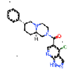 O=C(c1cnc2[nH]ncc2c1Cl)N1CCN2C[C@@H](c3ccccc3)CC[C@@H]2C1